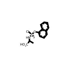 CC(NP(=S)(Cl)Oc1cccc2ccccc12)C(=O)O